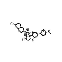 CSc1ccc(-c2ccc([C@@]3(NS(=O)(=O)c4ccc5cc(Cl)ccc5c4)CCNC3=O)c(F)c2)cn1